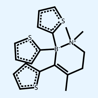 CC1=C(c2cccs2)[B-](c2cccs2)(c2cccs2)[N+](C)(C)CC1